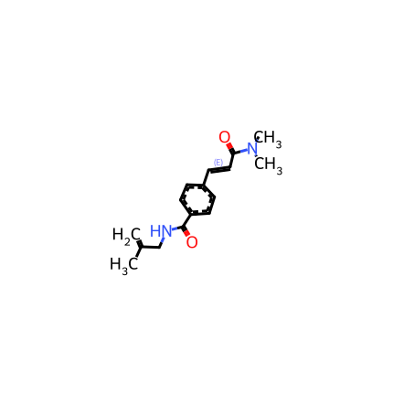 C=C(C)CNC(=O)c1ccc(/C=C/C(=O)N(C)C)cc1